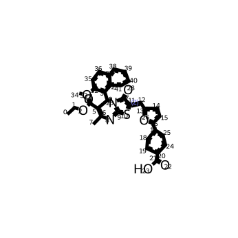 CCOC(=O)C1=C(C)N=c2s/c(=C\c3ccc(-c4ccc(C(=O)O)cc4)o3)c(=O)n2C1c1c(OC)ccc2ccccc12